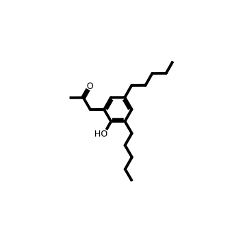 CCCCCc1cc(CCCCC)c(O)c(CC(C)=O)c1